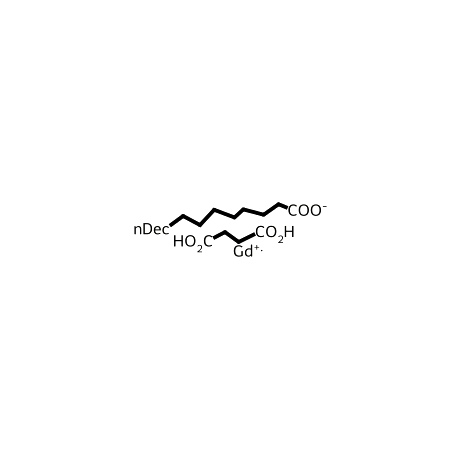 CCCCCCCCCCCCCCCCCC(=O)[O-].O=C(O)CCC(=O)O.[Gd+]